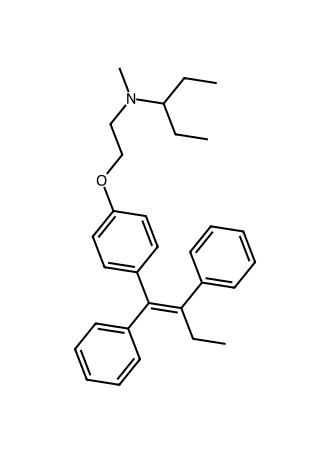 CC/C(=C(\c1ccccc1)c1ccc(OCCN(C)C(CC)CC)cc1)c1ccccc1